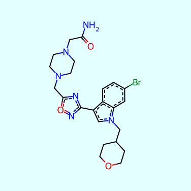 NC(=O)CN1CCN(Cc2nc(-c3cn(CC4CCOCC4)c4cc(Br)ccc34)no2)CC1